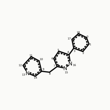 c1ccc(-c2ccc(Cc3cccnc3)nn2)cc1